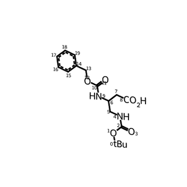 CC(C)(C)OC(=O)NCC(CC(=O)O)NC(=O)OCc1ccccc1